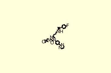 O=c1c(N2CC3(COC3)C2)nc(CCCN[C@@H]2C[C@H]2c2ccc(F)cc2)cn1-c1ccc(-c2ncccn2)cc1